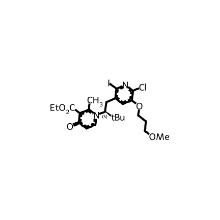 CCOC(=O)c1c(C)n([C@@H](Cc2cc(OCCCOC)c(Cl)nc2I)C(C)(C)C)ccc1=O